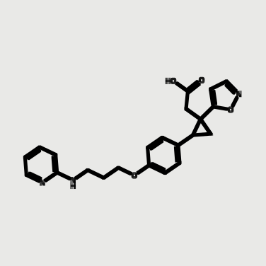 O=C(O)CC1(c2ccno2)CC1c1ccc(OCCCNc2ccccn2)cc1